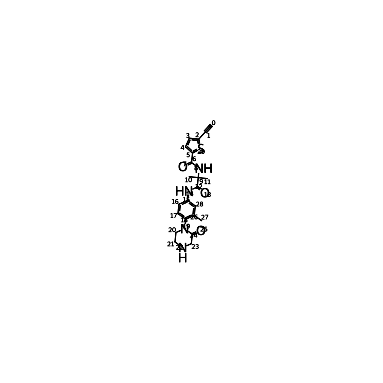 C#Cc1ccc(C(=O)NC(C)(C)C(=O)Nc2ccc(N3CCNCC3=O)c(C)c2)s1